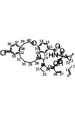 C=CC[C@H]1C[C@@H]1S(=O)(=O)NC(=O)c1ccc2c(c1)N(C[C@@H]1CC[C@H]1[C@@H](O)C=C)CCCCc1cc(Cl)ccc1CCO2